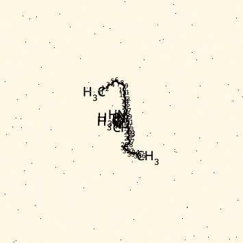 CCCCC/C=C\C/C=C\CCCCCCCCC(CCCCCCCC/C=C\C/C=C\CCCCC)NN(C)CCN(C)C